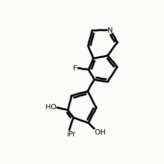 CC(C)c1c(O)cc(-c2ccc3cnccc3c2F)cc1O